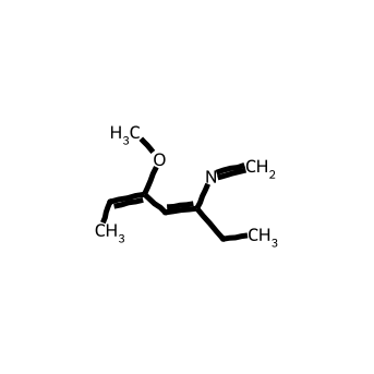 C=N/C(=C\C(=C/C)OC)CC